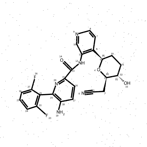 N#CC[C@H]1O[C@@H](c2ccncc2NC(=O)c2ccc(N)c(-c3c(F)cccc3F)n2)CC[C@@H]1O